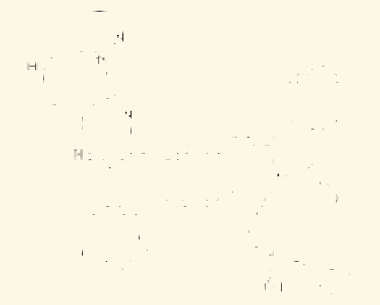 O=C1c2ccccc2C(=O)N1[C@]1(c2ccc(-c3nc4c(nc3-c3ccccc3)CNc3ccnn3-4)cc2)C[C@](O)(C2CC2)C1